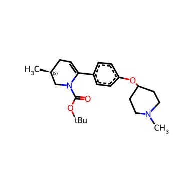 C[C@H]1CC=C(c2ccc(OC3CCN(C)CC3)cc2)N(C(=O)OC(C)(C)C)C1